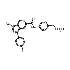 CCOC(=O)Cc1ccc(NC(=O)c2ccc3c(c2)c(-c2ccc(F)cc2)nn3C(C)=O)cc1